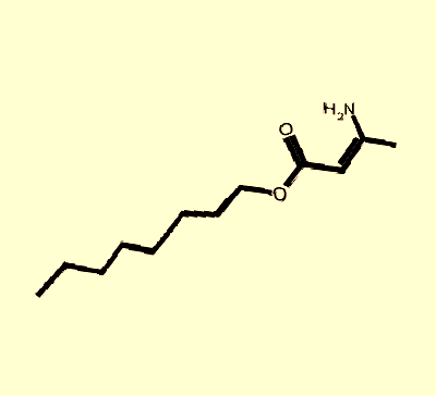 CCCCCCCCOC(=O)C=C(C)N